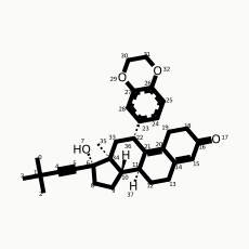 CC(C)(C)C#C[C@]1(O)CC[C@H]2[C@@H]3CCC4=CC(=O)CCC4=C3[C@@H](c3ccc4c(c3)OCCO4)C[C@@]21C